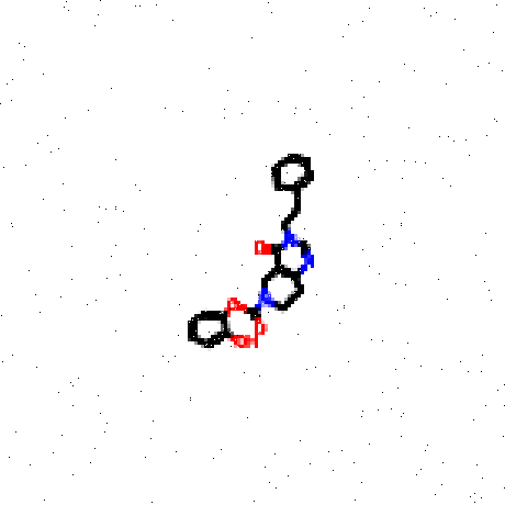 O=C(Oc1ccccc1O)N1CCc2ncn(CCc3ccccc3)c(=O)c2C1